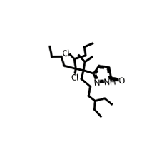 CCCCC(Cl)(C(Cl)CCC)C(CCCC(CC)CC)(c1ccc(=O)[nH]n1)C(C)C